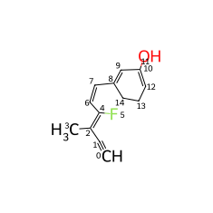 C#C/C(C)=C(F)/C=C\C1=CC(O)=CCC1